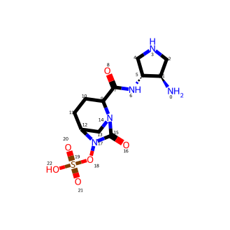 N[C@@H]1CNC[C@H]1NC(=O)C1CCC2CN1C(=O)N2OS(=O)(=O)O